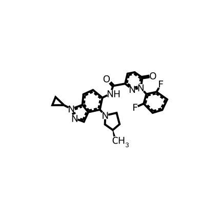 C[C@@H]1CCN(c2c(NC(=O)c3ccc(=O)n(-c4c(F)cccc4F)n3)ccc3c2cnn3C2CC2)C1